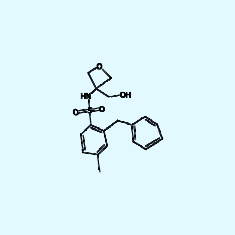 Cc1ccc(S(=O)(=O)NC2(CO)COC2)c(Cc2ccccc2)c1